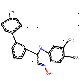 O=[N+]([O-])c1ccc(-c2cccc(C(C=NO)Nc3ccc([N+](=O)[O-])c(C(F)(F)F)c3)c2)cc1